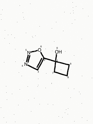 OC1(c2cnno2)CCC1